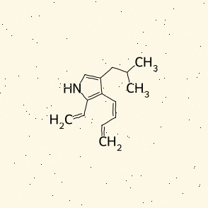 C=C/C=C\c1c(CC(C)C)c[nH]c1C=C